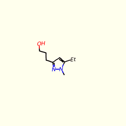 CCc1cc(CCCO)nn1C